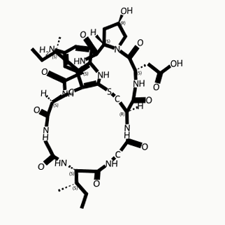 CC[C@H](C)[C@@H]1NC(=O)CNC(=O)[C@@H]2Cc3c([nH]c4ccc(N)cc34)SC[C@H](NC(=O)CNC1=O)C(=O)N[C@@H](CC(=O)O)C(=O)N1C[C@H](O)C[C@H]1C(=O)N[C@@H]([C@@H](C)CC)C(=O)N2